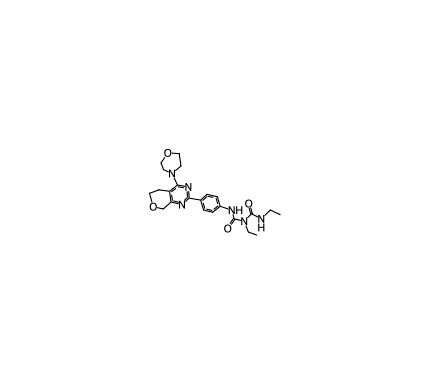 CCNC(=O)N(CC)C(=O)Nc1ccc(-c2nc3c(c(N4CCOCC4)n2)CCOC3)cc1